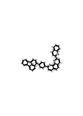 c1ccc2c(c1)-c1cccc3c(-c4ccc(-c5ccc6ccc7ccc(-c8ccc9ccccc9n8)nc7c6n5)cc4)ccc-2c13